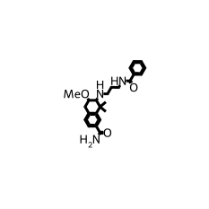 COC1Cc2ccc(C(N)=O)cc2C(C)(C)C1NCCCNC(=O)c1ccccc1